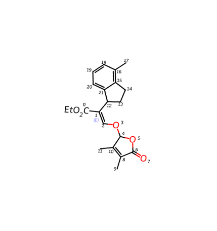 CCOC(=O)/C(=C/OC1OC(=O)C(C)=C1C)C1CCc2c(C)cccc21